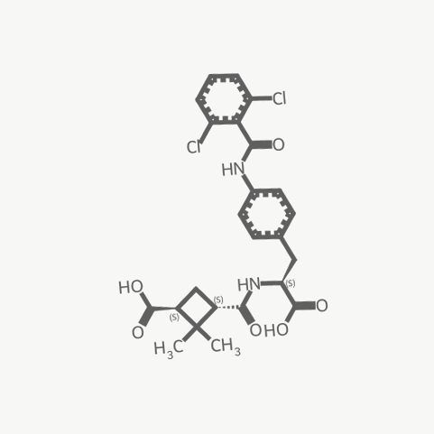 CC1(C)[C@@H](C(=O)O)C[C@@H]1C(=O)N[C@@H](Cc1ccc(NC(=O)c2c(Cl)cccc2Cl)cc1)C(=O)O